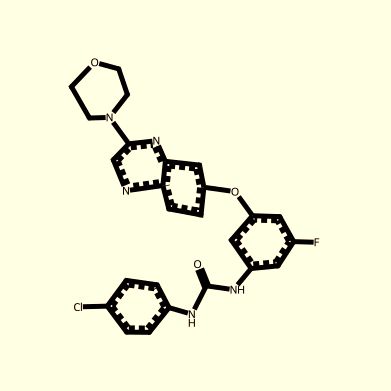 O=C(Nc1ccc(Cl)cc1)Nc1cc(F)cc(Oc2ccc3ncc(N4CCOCC4)nc3c2)c1